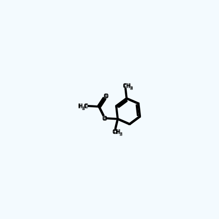 CC(=O)OC1(C)C=C(C)C=CC1